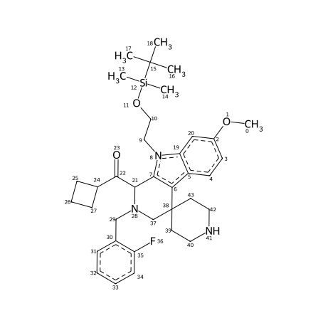 COc1ccc2c3c(n(CCO[Si](C)(C)C(C)(C)C)c2c1)C(C(=O)C1CCC1)N(Cc1ccccc1F)CC31CCNCC1